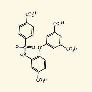 O=C(O)c1ccc(S(=O)(=O)Nc2cc(C(=O)O)ccc2Oc2cc(C(=O)O)cc(C(=O)O)c2)cc1